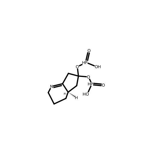 O=[PH](O)OC1(O[PH](=O)O)CC2=NCCC[C@@H]2C1